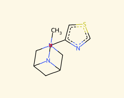 CN1CC2CC(C1)N2Cc1cscn1